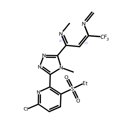 C=N/C(=C\C(=N/C)c1nnc(-c2nc(Cl)ccc2S(=O)(=O)CC)n1C)C(F)(F)F